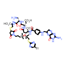 CCc1cnc(SC[Si](C)(C)O[Si](C)(C)CCCN2C(=O)CC(SC[C@H](NC(=O)[C@H](CN)NC(=O)[C@H](CC(=O)O)NC(=O)CC[C@H](NC(=O)c3ccc(NCc4cnc5nc(N)[nH]c(=O)c5n4)cc3)C(=O)O)C(=O)O)C2=O)nc1